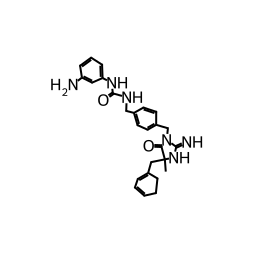 CC1(CC2=CC=CCC2)NC(=N)N(Cc2ccc(CNC(=O)Nc3cccc(N)c3)cc2)C1=O